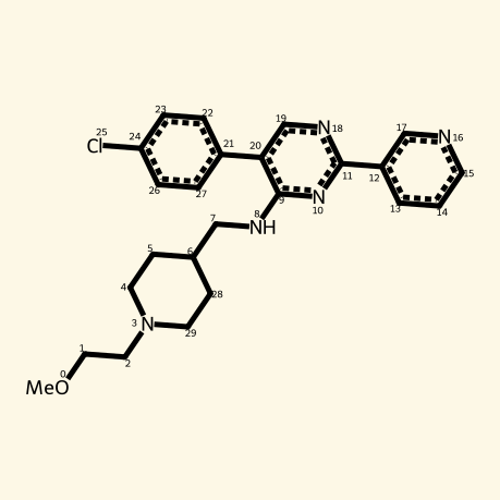 COCCN1CCC(CNc2nc(-c3cccnc3)ncc2-c2ccc(Cl)cc2)CC1